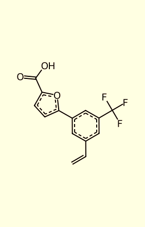 C=Cc1cc(-c2ccc(C(=O)O)o2)cc(C(F)(F)F)c1